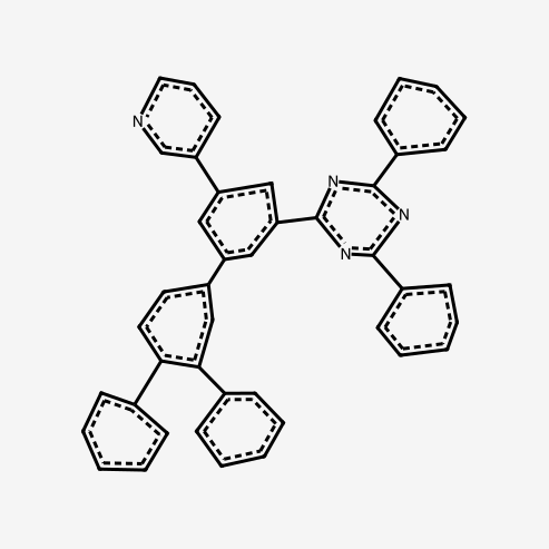 c1ccc(-c2nc(-c3ccccc3)nc(-c3cc(-c4cccnc4)cc(-c4ccc(-c5ccccc5)c(-c5ccccc5)c4)c3)n2)cc1